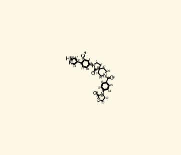 COc1cc(N2CCC3(CCN(C(=O)c4ccc(N5CCOC5=O)cc4)CC3)C2=O)ccc1-c1cn[nH]c1